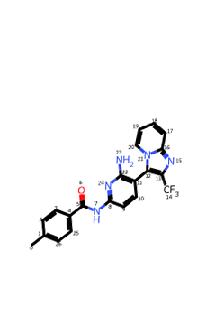 Cc1ccc(C(=O)Nc2ccc(-c3c(C(F)(F)F)nc4ccccn34)c(N)n2)cc1